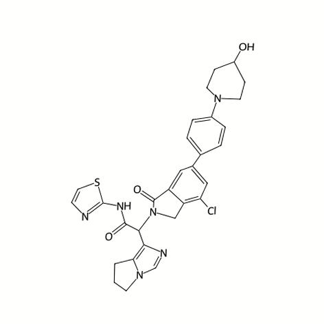 O=C(Nc1nccs1)C(c1ncn2c1CCC2)N1Cc2c(Cl)cc(-c3ccc(N4CCC(O)CC4)cc3)cc2C1=O